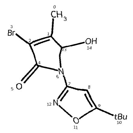 CC1=C(Br)C(=O)N(c2cc(C(C)(C)C)on2)C1O